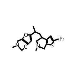 CC(C)c1cc2c(s1)CN(C)CC2CC(C)c1cc2c(o1)CN(C)CC2